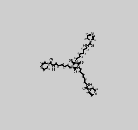 O=C(NCCCCCCn1c(=O)n(CCCCCCNC(=O)N2C=CN=CC2)c(=O)n(CCCCCCNC(=O)N2C=CN=CC2)c1=O)N1C=CN=CC1